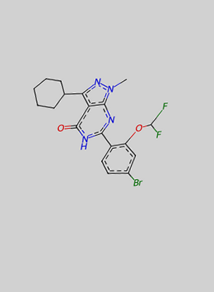 Cn1nc(C2CCCCC2)c2c(=O)[nH]c(-c3ccc(Br)cc3OC(F)F)nc21